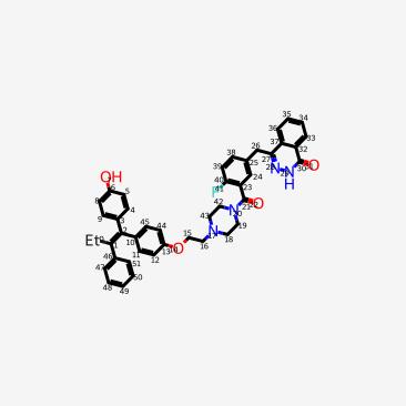 CC/C(=C(\c1ccc(O)cc1)c1ccc(OCCN2CCN(C(=O)c3cc(Cc4n[nH]c(=O)c5ccccc45)ccc3F)CC2)cc1)c1ccccc1